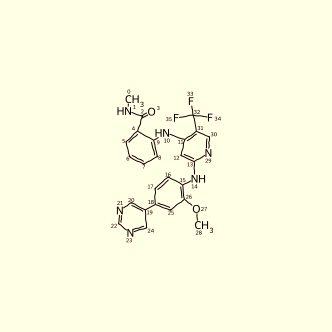 CNC(=O)c1ccccc1Nc1cc(Nc2ccc(-c3cncnc3)cc2OC)ncc1C(F)(F)F